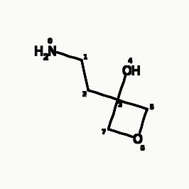 NCCC1(O)COC1